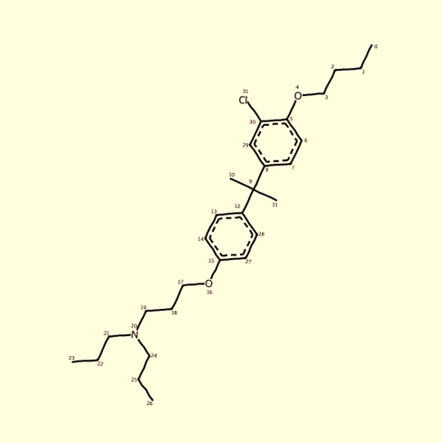 CCCCOc1ccc(C(C)(C)c2ccc(OCCCN(CCC)CCC)cc2)cc1Cl